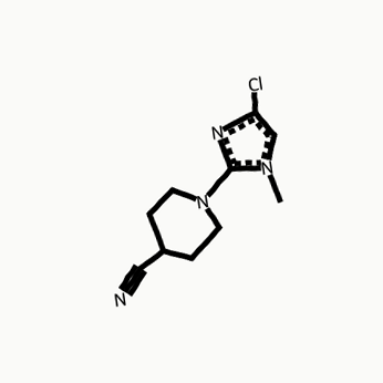 Cn1cc(Cl)nc1N1CCC(C#N)CC1